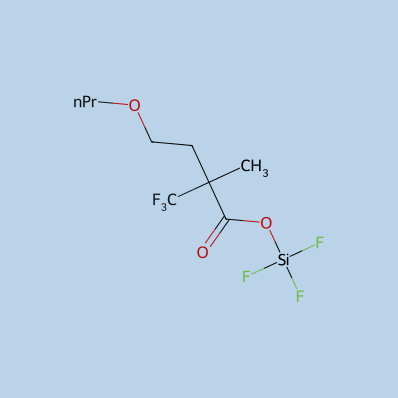 CCCOCCC(C)(C(=O)O[Si](F)(F)F)C(F)(F)F